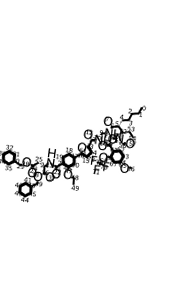 CCCCC[C@@H](C(=O)NCNC(=O)c1ccc(-c2ccc(C(=O)N[C@@H](CC(=O)OCc3ccccc3)C(=O)OCc3ccccc3)c(OCC)c2)o1)[C@@H](CC)N(C=O)OC(=O)c1ccc(OC)cc1OC(F)(F)F